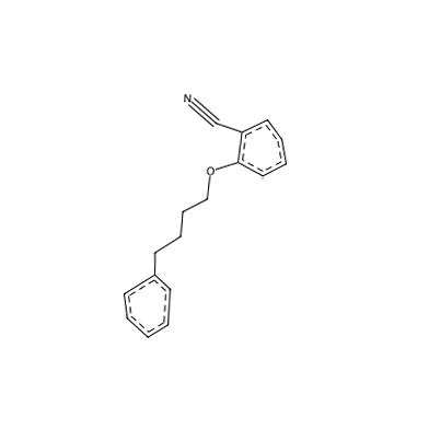 N#Cc1ccc[c]c1OCCCCc1ccccc1